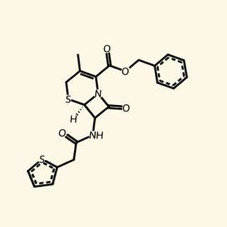 CC1=C(C(=O)OCc2ccccc2)N2C(=O)C(NC(=O)Cc3cccs3)[C@H]2SC1